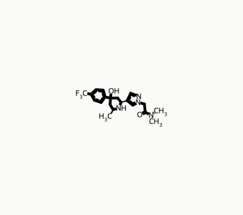 C[C@H]1CC(O)(c2ccc(C(F)(F)F)cc2)C[C@@H](c2cnn(CC(=O)N(C)C)c2)N1